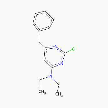 CCN(CC)c1cc(Cc2ccccc2)nc(Cl)n1